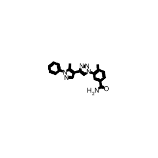 Cc1ccc(C(N)=O)cc1-n1cc(-c2cnn(-c3ccccc3)c2C)nn1